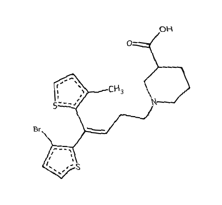 Cc1ccsc1/C(=C\CCN1CCCC(C(=O)O)C1)c1sccc1Br